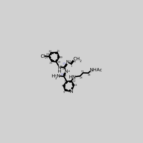 C=C/N=C(\N=C(/N)c1ccncc1NCCCNC(C)=O)Nc1cccc(Cl)c1